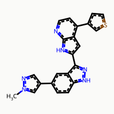 Cn1cc(-c2ccc3[nH]nc(-c4cc5c(-c6ccsc6)ccnc5[nH]4)c3c2)cn1